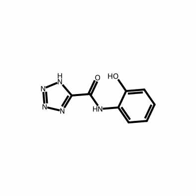 O=C(Nc1ccccc1O)c1nnn[nH]1